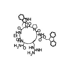 CC[C@@H]1NC(=O)[C@H](Cc2c[nH]c3ccccc23)NC(=O)C2CCCN2C(=O)[C@@H](NC(=O)OCC2c3ccccc3-c3ccccc32)C/C=C(/CNC(=N)N)CC[C@@H](C(N)=O)NC1=O